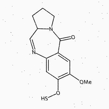 COc1cc2c(cc1OS)N=CC1CCCN1C2=O